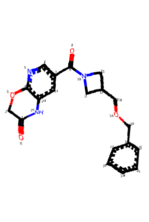 O=C1COc2ncc(C(=O)N3CC(COCc4ccccc4)C3)cc2N1